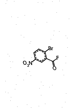 O=C(F)c1cc([N+](=O)[O-])ccc1Br